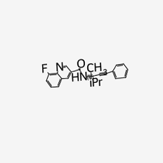 CC(C)[C@](C)(C#Cc1ccccc1)NC(=O)c1cnc2c(F)cccc2c1